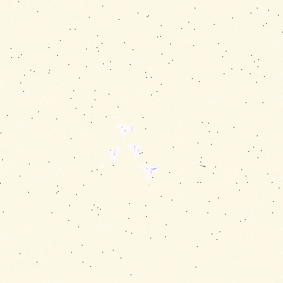 COc1ccc(C(Nc2ncc3sc(=O)n([C@H]4CS[C@@H](C(CC(=O)O)C5CC5)O4)c3n2)(c2ccccc2)c2ccccc2)cc1